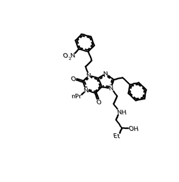 CCCn1c(=O)c2c(nc(Cc3ccccc3)n2CCNCC(O)CC)n(CCc2ccccc2[N+](=O)[O-])c1=O